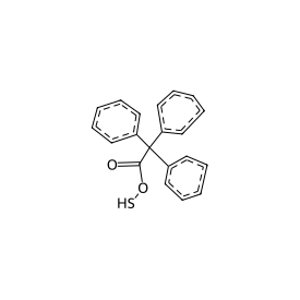 O=C(OS)C(c1ccccc1)(c1ccccc1)c1ccccc1